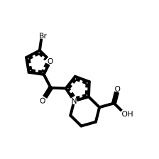 O=C(c1ccc(Br)o1)c1ccc2n1CCCC2C(=O)O